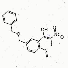 C=Nc1ccc(COCc2ccccc2)cc1/C(O)=C(\C)[N+](=O)[O-]